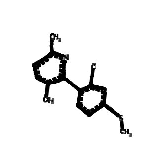 CSc1ccc(-c2nc(C)ccc2O)c(Cl)c1